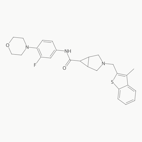 Cc1c(CN2CC3C(C2)C3C(=O)Nc2ccc(N3CCOCC3)c(F)c2)sc2ccccc12